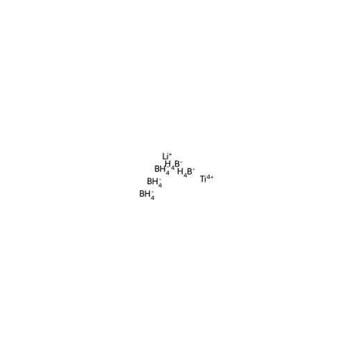 [BH4-].[BH4-].[BH4-].[BH4-].[BH4-].[Li+].[Ti+4]